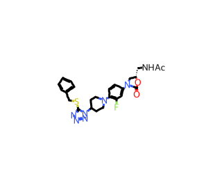 CC(=O)NC[C@H]1CN(c2ccc(N3CCC(n4nnnc4SCc4ccccc4)CC3)c(F)c2)C(=O)O1